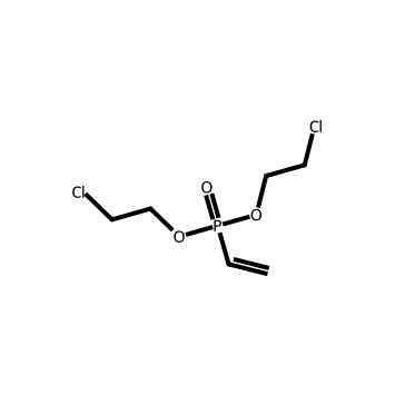 C=CP(=O)(OCCCl)OCCCl